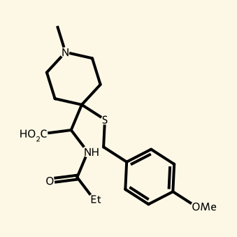 CCC(=O)NC(C(=O)O)C1(SCc2ccc(OC)cc2)CCN(C)CC1